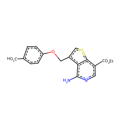 CCOC(=O)c1cnc(N)c2c(COc3ccc(C(=O)O)cc3)csc12